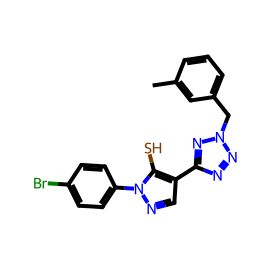 Cc1cccc(Cn2nnc(-c3cnn(-c4ccc(Br)cc4)c3S)n2)c1